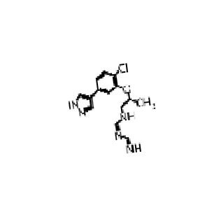 C[C@@H](CN/C=N\C=N)Oc1cc(-c2cn[nH]c2)ccc1Cl